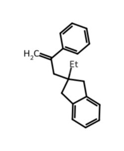 C=C(CC1(CC)Cc2ccccc2C1)c1ccccc1